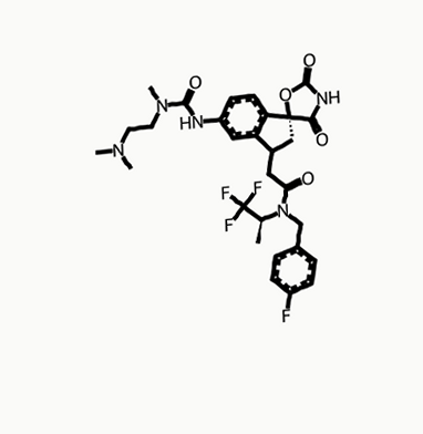 C[C@H](N(Cc1ccc(F)cc1)C(=O)CC1C[C@@]2(OC(=O)NC2=O)c2ccc(NC(=O)N(C)CCN(C)C)cc21)C(F)(F)F